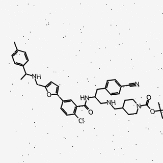 Cc1ccc(C(C)NCc2ccc(-c3ccc(Cl)c(C(=O)NC(CNCC4CCN(C(=O)OC(C)(C)C)CC4)Cc4ccc(C#N)cc4)c3)o2)cc1